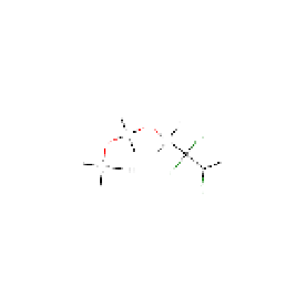 CC(Br)C(Br)(Br)[Si](C)(C)O[Si](C)(C)O[Si](C)(C)C